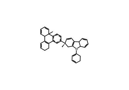 CC12C=CC=CC1C1=C(CCC=C1)c1cc([C@]3(C)C=CC4=C(C3)N(C3=CC=CCC3)C3C=CC=CC43)ccc12